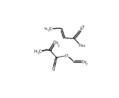 C=COC(=O)C(=C)C.CC=CC(=O)O